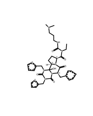 CCN(C(=O)NCCCN(C)C)C(=O)[C@@H]1CC[C@H]2N1C(=O)[C@@H](Cc1ccccc1)N1C(=O)N(Cc3cccs3)C(=O)N(Cc3cccs3)C21O